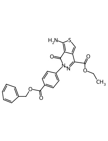 CCOC(=O)c1nn(-c2ccc(C(=O)OCc3ccccc3)cc2)c(=O)c2c(N)scc12